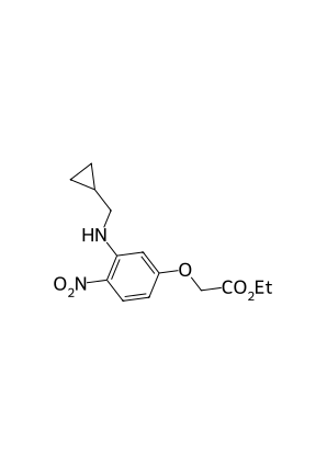 CCOC(=O)COc1ccc([N+](=O)[O-])c(NCC2CC2)c1